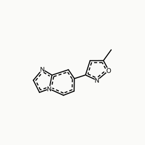 Cc1cc(-c2ccn3ccnc3c2)no1